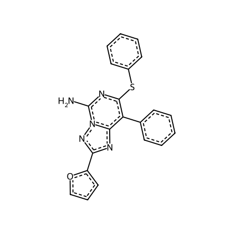 Nc1nc(Sc2ccccc2)c(-c2ccccc2)c2nc(-c3ccco3)nn12